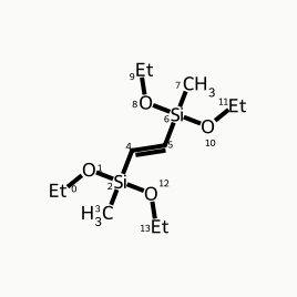 CCO[Si](C)(C=C[Si](C)(OCC)OCC)OCC